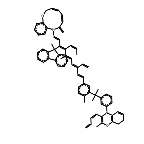 C=C/C=C\C1=C(C)OC2=C(C=CCC2)N1c1cccc(C(C)(C)c2cc(/C=C/C(C=C)=C/C=C(C)/C(/C=C\C)=C(/C=I/N3C(=C)/C=C\C=C/COc4ccccc43)C3(C)c4ccccc4-c4ccccc43)ccc2C)c1